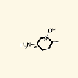 CC1CC[C@@H](N)C[C@@H]1O